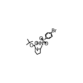 CC(C)(C)OC(=O)N1CCCC1CNS(=O)(=O)c1ccc(Br)cc1